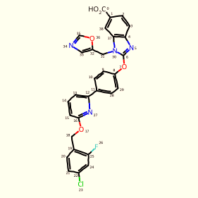 O=C(O)c1ccc2nc(Oc3ccc(-c4cccc(OCc5ccc(Cl)cc5F)n4)cc3)n(Cc3cnco3)c2c1